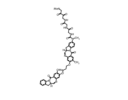 CNCC(=O)C(=O)CNC(=O)CNC(=O)CNC(=O)N(C)c1ccc2c(c1)C[C@H]1C=Nc3cc(OCCCOc4cc5c(cc4OC)C(=O)N4c6ccccc6C[C@H]4C=N5)c(C)cc3C(=O)N21